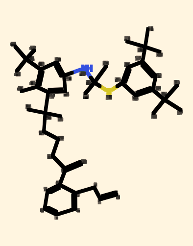 C=CCc1ccccc1C(=C)CCCC(C)(C)c1cc(NC(C)(C)Sc2cc(C(C)(C)C)cc(C(C)(C)C)c2)cc(C(C)(C)C)c1C